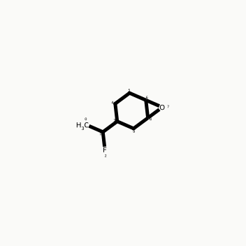 CC(F)C1CCC2OC2C1